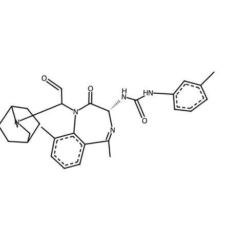 CC1=N[C@@H](NC(=O)Nc2cccc(C)c2)C(=O)N(C(C=O)N2CC3CCC(CC3)C2)c2c(C)cccc21